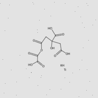 O=C(O)CC(O)(CC(=O)OC(=O)C(=O)O)C(=O)O.[KH].[Ti]